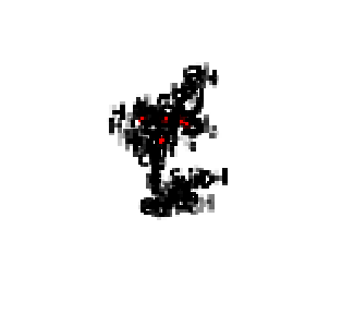 C#CC[C@H](NC(=O)[C@H](CC(=O)O)NC(C)=O)C(=O)N[C@@H](CSSCCOC(=O)NNC(=O)[C@@]1(O)[C@H](O)[C@]2(CC)C=C(C)CN3CC[C@@]4(c5cc([C@@]6(C(=O)OC)C[C@@H]7CN(CCc8c6[nH]c6ccccc86)C[C@](O)(CC)C7)c(OC)cc5N(C)[C@@H]14)[C@@H]32)C(=O)O